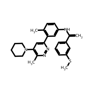 C=C(Nc1ccc(C)c(-c2cc(N3CCCCC3)c(C)nn2)c1)c1cccc(SC)c1